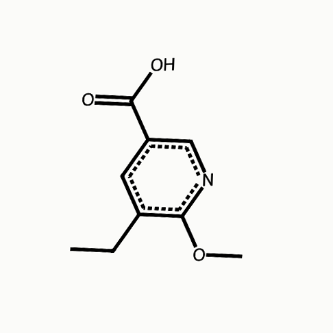 CCc1cc(C(=O)O)cnc1OC